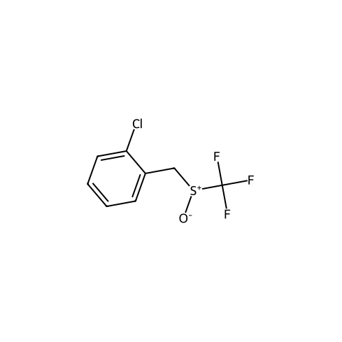 [O-][S+](Cc1ccccc1Cl)C(F)(F)F